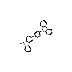 C1=Cc2c(n(-c3ccc(-c4ccc5[nH]c6ccccc6c5c4)cc3)c3ccccc23)CC1